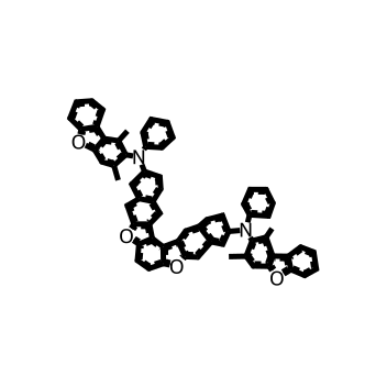 Cc1cc2oc3ccccc3c2c(C)c1N(c1ccccc1)c1ccc2cc3c(cc2c1)oc1ccc2oc4cc5cc(N(c6ccccc6)c6c(C)cc7oc8ccccc8c7c6C)ccc5cc4c2c13